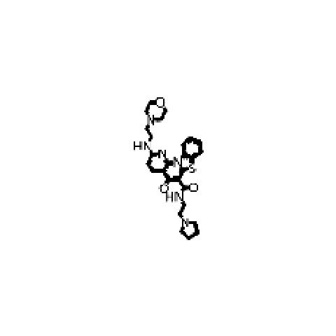 O=C(NCCN1CCCC1)c1c(=O)c2ccc(NCCN3CCOCC3)nc2n2c1sc1ccccc12